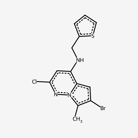 Cc1c(Br)cc2c(NCc3cccs3)cc(Cl)nn12